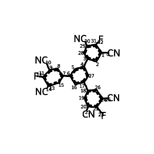 N#Cc1cc(-c2cc(-c3cc(C#N)c(F)c(C#N)c3)cc(-c3cc(C#N)c(F)c(C#N)c3)c2)cc(C#N)c1F